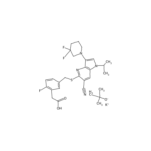 CC(C)(C)[O-].CC(C)n1cc(N2CCCC(F)(F)C2)c2nc(SCc3ccc(F)c(CC(=O)O)c3)c(C#N)cc21.[K+]